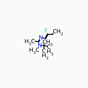 C=C/C(F)=C/N=C(/C)N(C)C(C)(C)C